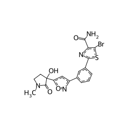 CN1CCC(O)(c2cc(-c3cccc(-c4nc(C(N)=O)c(Br)s4)c3)no2)C1=O